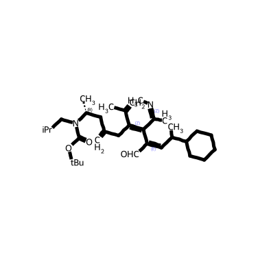 C=C(C/C(C(=C)C)=C(C(/C)=N\C)\C(C=O)=C/C(C)C1CCCCC1)C[C@@H](C)N(CC(C)C)C(=O)OC(C)(C)C